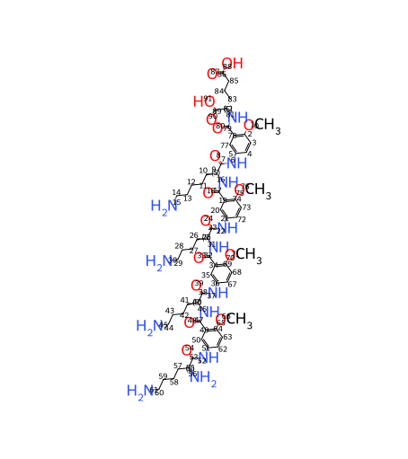 COc1ccc(NC(=O)[C@H](CCCCCN)NC(=O)c2cc(NC(=O)[C@H](CCCCN)NC(=O)c3cc(NC(=O)[C@H](CCCCN)NC(=O)c4cc(NC(=O)[C@@H](N)CCCCN)ccc4OC)ccc3OC)ccc2OC)cc1C(=O)N[C@@H](CCCC(=O)O)C(=O)O